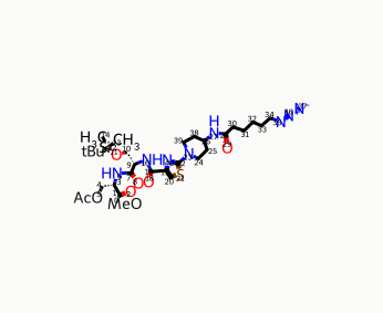 COC(=O)[C@H](COC(C)=O)NC(=O)[C@H](CO[Si](C)(C)C(C)(C)C)NC(=O)c1csc(N2CCC(NC(=O)CCCCCN=[N+]=[N-])CC2)n1